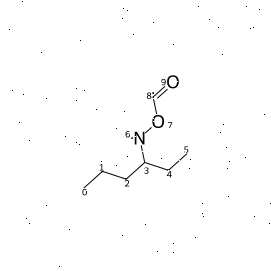 CCCC(CC)[N]O[C]=O